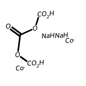 O=C(O)OC(=O)OC(=O)O.[Co].[Co].[NaH].[NaH]